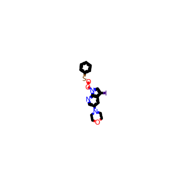 Ic1cn(OOSc2ccccc2)c2ncc(N3CCOCC3)cc12